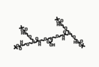 CC(C)(C)OC(=O)NCCOCCN(CCOCCNC(=O)OC(C)(C)C)CC(=O)NCCOCCN(CCOCCNC(=O)CN(CCOCCNC(=O)OC(C)(C)C)CCOCCNC(=O)OC(C)(C)C)CC(=O)O